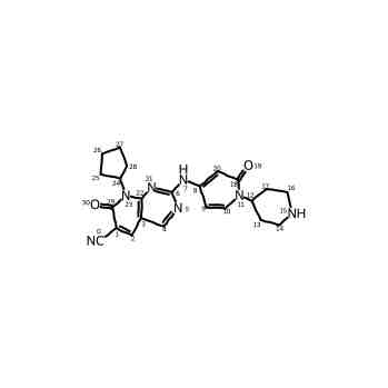 N#Cc1cc2cnc(Nc3ccn(C4CCNCC4)c(=O)c3)nc2n(C2CCCC2)c1=O